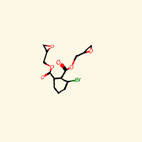 O=C(OCC1CO1)C1CCCC(Br)C1C(=O)OCC1CO1